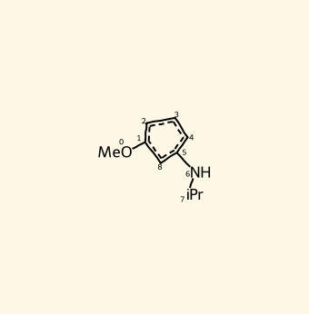 COc1cccc(NC(C)C)c1